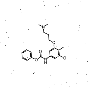 Cc1c(Cl)cc(NC(=O)Oc2ccccc2)cc1OCCCN(C)C